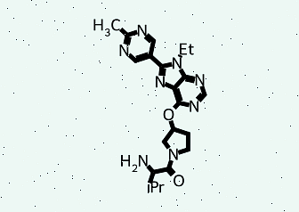 CCn1c(-c2cnc(C)nc2)nc2c(OC3CCN(C(=O)C(N)C(C)C)C3)ncnc21